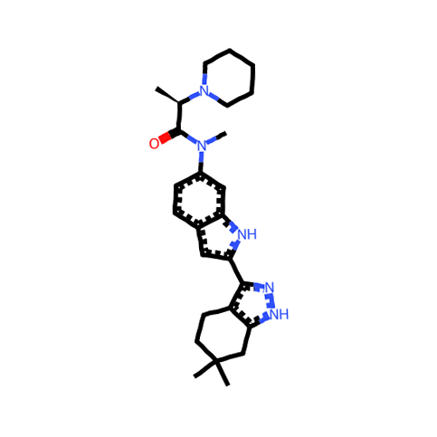 C[C@H](C(=O)N(C)c1ccc2cc(-c3n[nH]c4c3CCC(C)(C)C4)[nH]c2c1)N1CCCCC1